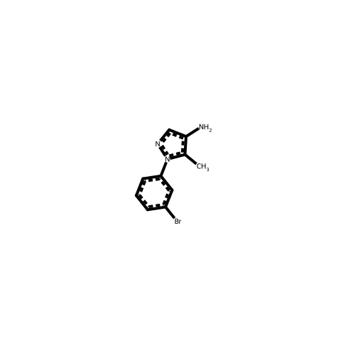 Cc1c(N)cnn1-c1cccc(Br)c1